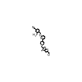 Cn1c(CN2CC=C(c3cccc(OCc4ccc(C#N)cc4P)n3)CC2)nc2sc(C=O)cc21